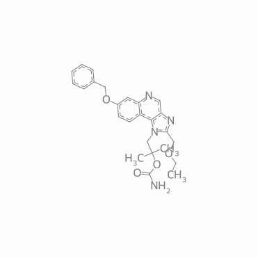 CCOCc1nc2cnc3cc(OCc4ccccc4)ccc3c2n1CC(C)(C)OC(N)=O